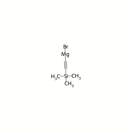 C[Si](C)(C)C#[C][Mg][Br]